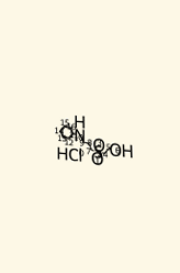 Cl.O=S(=O)(CCO)CCCNc1ccccc1